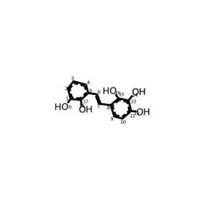 Oc1cccc(/C=C/c2ccc(O)c(O)c2O)c1O